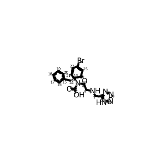 O=C(O)N(CCNCc1nnn[nH]1)[C@@]1(Cc2ccccc2)C=CC(Br)=CC1=O